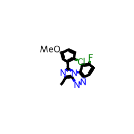 COc1ccc(Cl)c(-c2nc(C)c3nnc4ccc(F)cc4n23)c1